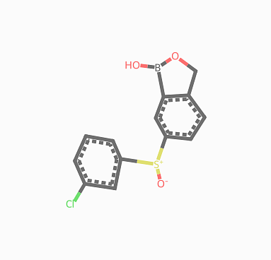 [O-][S+](c1cccc(Cl)c1)c1ccc2c(c1)B(O)OC2